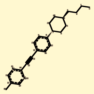 CCCC[C@H]1CC[C@H](c2ccc(C#Cc3ncc(C)cn3)cc2)CC1